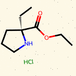 CCOC(=O)[C@]1(CC)CCCN1.Cl